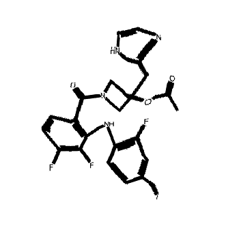 CC(=O)OC1(Cc2ncc[nH]2)CN(C(=O)c2ccc(F)c(F)c2Nc2ccc(I)cc2F)C1